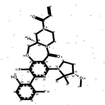 C=CC(=O)N1CCN2C(=O)c3c(N4CC[C@H](OC)C4(C)C)nc(-c4c(O)cccc4F)c(F)c3OC[C@H]2C1